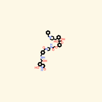 O=C(COc1cccc([C@@](O)(C(=O)O)c2ccccc2CC2CCN(Cc3ccccc3)CC2)c1)N[C@H]1CCN(C(=O)c2ccc(CNC[C@H](O)c3ccc(O)c4[nH]c(=O)ccc34)cc2)C1